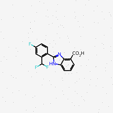 O=C(O)c1cccc2[nH]c(-c3ccc(F)cc3C(F)F)nc12